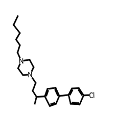 CCCCCCN1CCN(CCC(C)c2ccc(-c3ccc(Cl)cc3)cc2)CC1